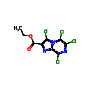 CCOC(=O)c1nc2c(Cl)nc(Cl)c(Cl)n2c1Cl